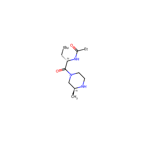 CCC(=O)N[C@@H](CC(C)(C)C)C(=O)N1CCN[C@@H](C)C1